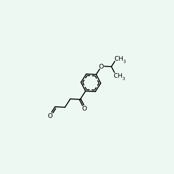 CC(C)Oc1ccc(C(=O)CCC=O)cc1